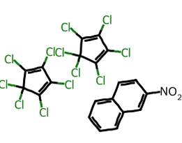 ClC1=C(Cl)C(Cl)(Cl)C(Cl)=C1Cl.ClC1=C(Cl)C(Cl)(Cl)C(Cl)=C1Cl.O=[N+]([O-])c1ccc2ccccc2c1